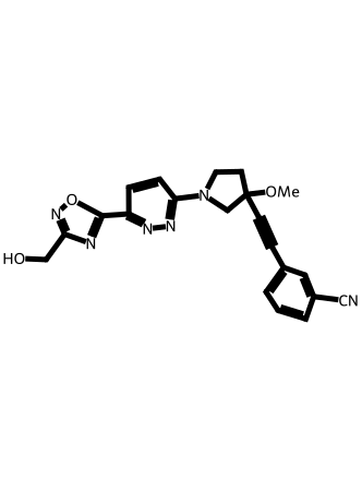 COC1(C#Cc2cccc(C#N)c2)CCN(c2ccc(-c3nc(CO)no3)nn2)C1